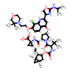 C=C[C@@H]1C[C@]1(NC(=O)[C@@H]1C[C@@H](Oc2cc(-c3coc(NC(C)C)n3)nc3c(Cl)c(OCCN4CCOCC4(C)C)ccc23)CN1C(=O)C(NC(=O)O[C@@H]1C[C@@H]2C[C@@H]2C1)C(C)(C)C)C(=O)O